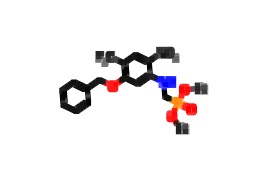 CCOP(=O)(CNc1cc(OCc2ccccc2)c(C(F)(F)F)cc1[N+](=O)[O-])OCC